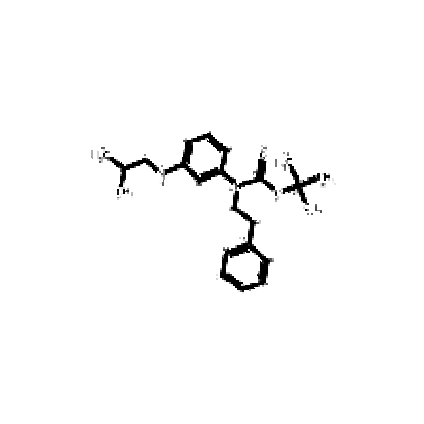 CC(C)CNc1cc[c]c(N(CCc2ccccc2)C(=O)OC(C)(C)C)c1